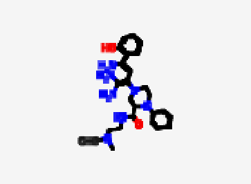 CN(C=O)CCNC(=O)C1CN(C(/C=C(\N)c2ccccc2O)=C(N)N)CCN1c1ccccc1